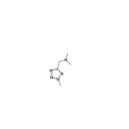 CN(C)Cc1nnn(C)n1